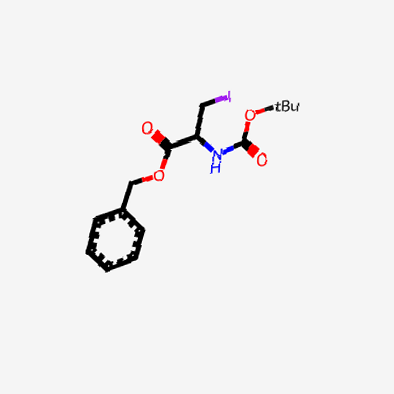 CC(C)(C)OC(=O)NC(CI)C(=O)OCc1ccccc1